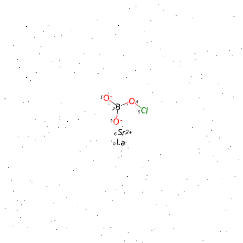 [La].[O-]B([O-])OCl.[Sr+2]